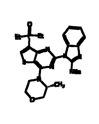 CCP(=O)(CC)c1csc2c(N3CCOC[C@H]3C)nc(-n3c(NC)nc4ccccc43)nc12